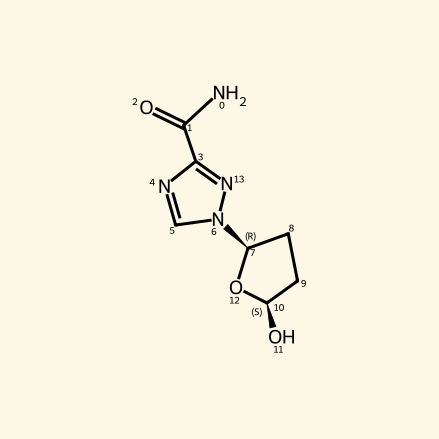 NC(=O)c1ncn([C@H]2CC[C@@H](O)O2)n1